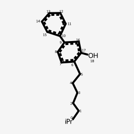 CC(C)CCCCCc1ccc(-c2ccccc2)cc1O